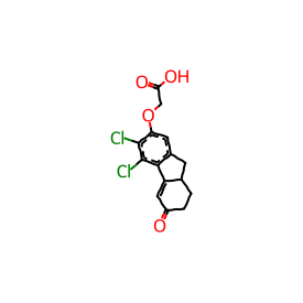 O=C(O)COc1cc2c(c(Cl)c1Cl)C1=CC(=O)CCC1C2